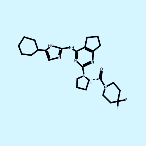 O=C([C@@H]1CCCN1c1nc2c(c(Nc3ncc(C4CCCCC4)[nH]3)n1)CCC2)N1CCC(F)(F)CC1